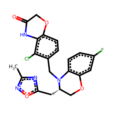 Cc1noc(C[C@H]2COc3cc(F)ccc3N2Cc2ccc3c(c2Cl)NC(=O)CO3)n1